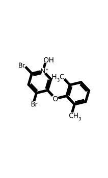 Cc1cccc(C)c1Oc1c[n+](O)c(Br)cc1Br